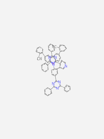 N#Cc1ccccc1-c1ccc2c(c1)c1cc(-c3ccccc3C#N)ccc1n2-c1ccc(-c2nc(-c3ccccc3)nc(-c3ccccc3)n2)cc1-c1cnccc1-c1nc(-c2ccccc2)nc(-c2ccccc2)n1